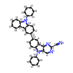 N#Cc1ncc2c(n1)c1cc(-c3ccc4c(c3)c3ccccc3n4-c3ccccc3)ccc1n2-c1ccccc1